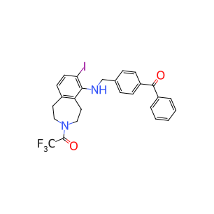 O=C(c1ccccc1)c1ccc(CNc2c(I)ccc3c2CCN(C(=O)C(F)(F)F)CC3)cc1